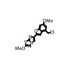 COc1cc(CCl)c2cc(-c3cn4nc(OC)sc4n3)oc2c1